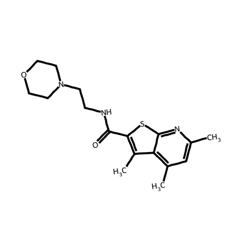 Cc1cc(C)c2c(C)c(C(=O)NCCN3CCOCC3)sc2n1